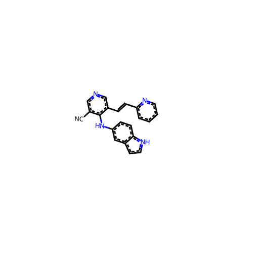 N#Cc1cncc(C=Cc2ccccn2)c1Nc1ccc2[nH]ccc2c1